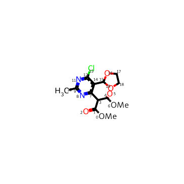 COC(=O)C(C(=O)OC)c1nc(C)nc(Cl)c1C1OCCO1